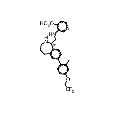 Cc1cc(OCC(F)(F)F)ccc1-c1ccc2c(c1)CCCN[C@H]2CNc1cnccc1C(=O)O